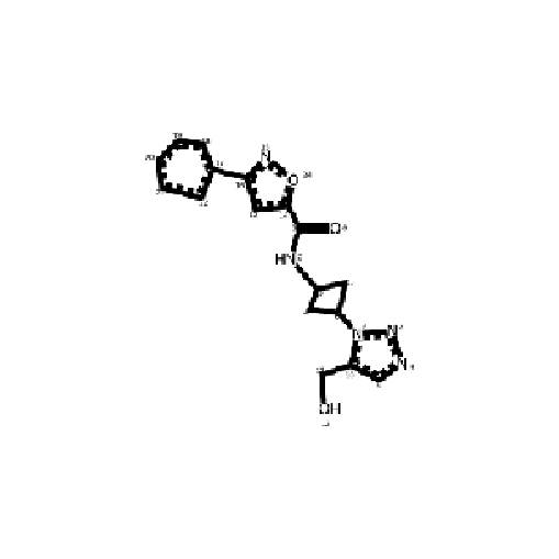 O=C(NC1CC(n2nncc2CO)C1)c1cc(-c2ccccc2)no1